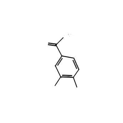 COC(=O)c1ccc(C)c(C)c1